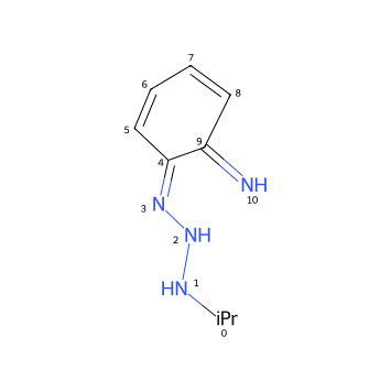 CC(C)NN/N=C1/C=CC=CC1=N